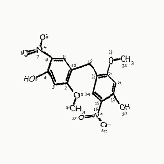 COc1cc(O)c([N+](=O)[O-])cc1Cc1cc([N+](=O)[O-])c(O)cc1OC